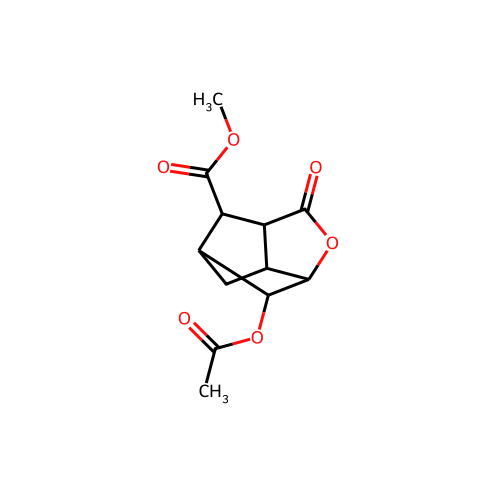 COC(=O)C1C2CC3C(OC(=O)C31)C2OC(C)=O